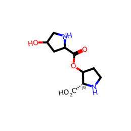 O=C(OC1CCN[C@@H]1C(=O)O)C1CC(O)CN1